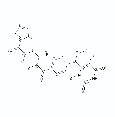 O=C(c1cccs1)N1CCN(C(=O)c2cc(Cn3c4c(c(=O)[nH]c3=O)CCCC4)ccc2F)CC1